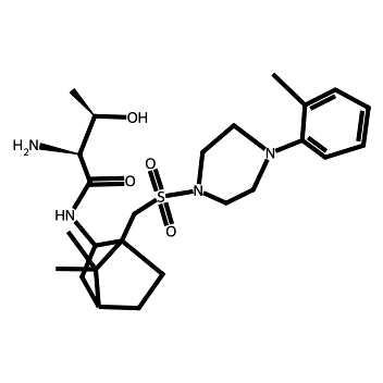 Cc1ccccc1N1CCN(S(=O)(=O)CC23CCC(CC2NC(=O)[C@@H](N)[C@@H](C)O)C3(C)C)CC1